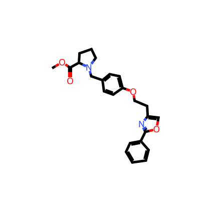 COC(=O)C1CCCN1Cc1ccc(OCCc2coc(-c3ccccc3)n2)cc1